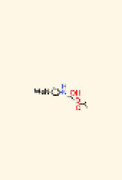 C=C(C)C(=O)OCC(O)CNc1ccc(NC)cc1